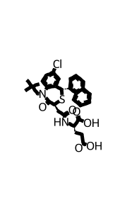 CC(C)(C)CN1C(=O)[C@H](CC(=O)N[C@@H](CCC(=O)O)C(=O)O)S[C@@H](c2cccc3ccccc23)c2cc(Cl)ccc21